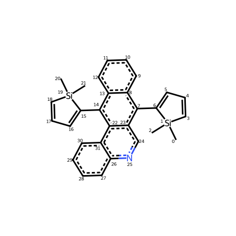 C[Si]1(C)C=CC=C1c1c2ccccc2c(C2=CC=C[Si]2(C)C)c2c1cnc1ccccc12